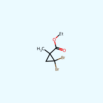 CCOC(=O)C1(C)CC1(Br)Br